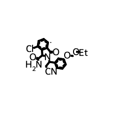 CCOCOc1cccc(C(CC#N)N2C(=O)c3[c]ccc(Cl)c3C2C(N)=O)c1